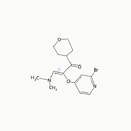 CN(C)/C=C(\Oc1ccnc(Br)c1)C(=O)C1CCOCC1